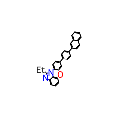 CCc1nc2cccc3c2n1-c1ccc(-c2ccc(-c4ccc5ccccc5c4)cc2)cc1O3